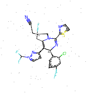 N#CC[C@@]1(F)CC2=C(c3ccn(C(F)F)n3)[C@H](c3ccc(F)cc3Cl)N=C(c3nccs3)N2C1